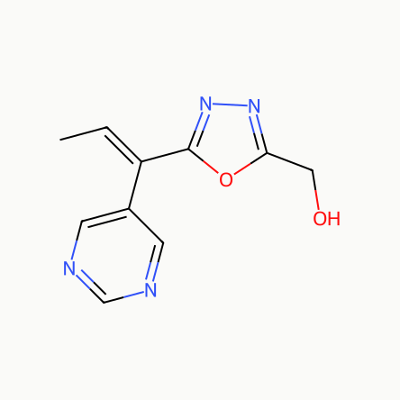 C/C=C(\c1cncnc1)c1nnc(CO)o1